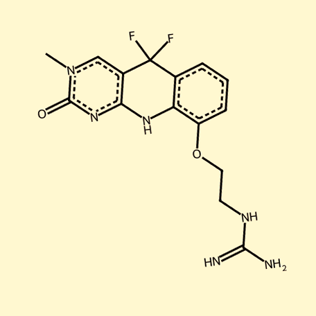 Cn1cc2c(nc1=O)Nc1c(OCCNC(=N)N)cccc1C2(F)F